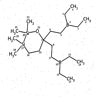 CCB(CC)CCC1(CCB(CC)CC)CC[Si](C)(C)[Si](C)(C)O1